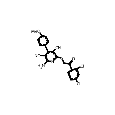 COc1ccc(-c2c(C#N)c(N)nc(SCC(=O)c3ccc(Cl)cc3Cl)c2C#N)cc1